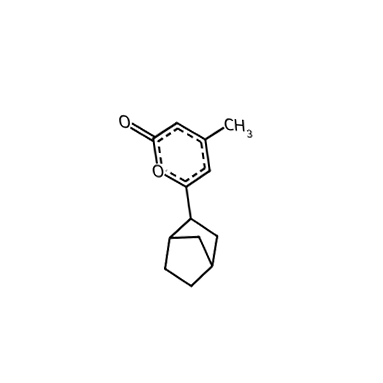 Cc1cc(C2CC3CCC2C3)oc(=O)c1